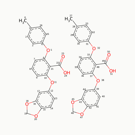 Cc1ccc(Oc2cccc(Oc3ccc4c(c3)OCO4)c2C(=O)O)cc1.Cc1ccc(Oc2cccc(Oc3ccc4c(c3)OCO4)c2C(=O)O)cc1